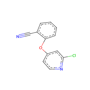 N#Cc1ccccc1Oc1ccnc(Cl)c1